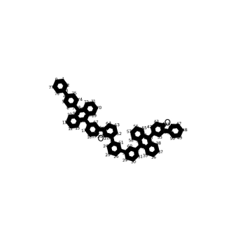 c1ccc(-c2ccc(-c3c4ccccc4c(-c4ccc5oc6c(-c7cccc(-c8cccc(-c9c%10ccccc%10c(-c%10ccc%11oc%12ccccc%12c%11c%10)c%10ccccc9%10)c8)c7)cccc6c5c4)c4ccccc34)cc2)cc1